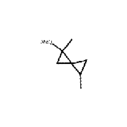 COC1(C)CC12CC2C